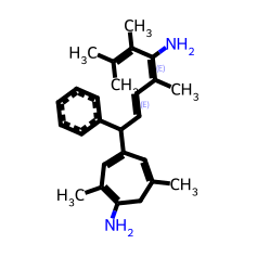 CC1=CC(C(/C=C/C(C)=C(/N)C(C)=C(C)C)c2ccccc2)=CC(C)=C(N)C1